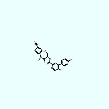 Cc1cnc(C(=O)N[C@H]2COc3cc(C#N)ccc3N(C)C2=O)nc1-c1ccc(F)cc1